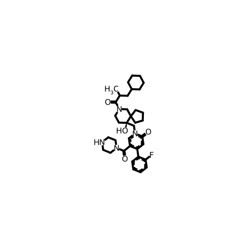 CC(CC1CCCCC1)C(=O)N1CC[C@@](O)(Cn2cc(C(=O)N3CCNCC3)c(-c3ccccc3F)cc2=O)C2(CCCC2)C1